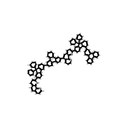 c1ccc(C2(c3ccccc3)c3ccc(-c4ccc5c6ccc(-c7cc8ccc(-c9ccc%10c(c9)C(c9ccccc9)(c9ccccc9)c9cccc(-c%11ccc%12c%13ccccc%13c%13ccccc%13c%12c%11)c9-%10)nc8c8ncccc78)cc6c6ccccc6c5c4)cc3-c3ccc(-c4ccc5ccc6cccnc6c5n4)cc32)cc1